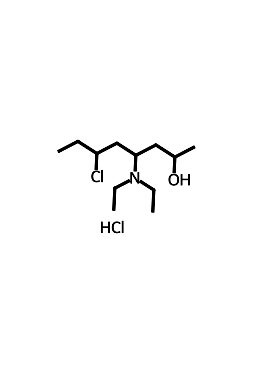 CCC(Cl)CC(CC(C)O)N(CC)CC.Cl